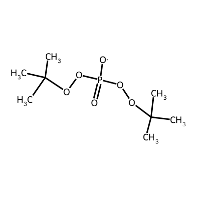 CC(C)(C)OOP([O])(=O)OOC(C)(C)C